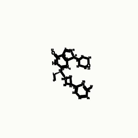 CC[C@H](c1nc2c(cnn2C2CCOCC2)c(=O)[nH]1)N1CC(c2cccc(C)n2)C1